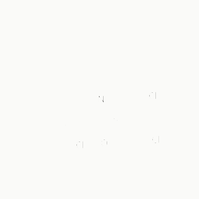 C=CCN(CC(=C)Cl)C(=O)C(Cl)Cl